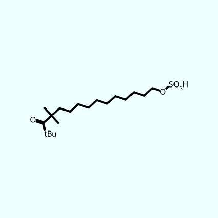 CC(C)(C)C(=O)C(C)(C)CCCCCCCCCCCOS(=O)(=O)O